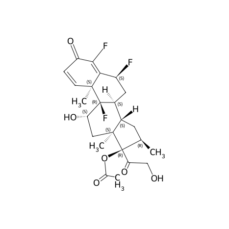 CC(=O)O[C@]1(C(=O)CO)[C@H](C)C[C@H]2[C@@H]3C[C@H](F)C4=C(F)C(=O)C=C[C@]4(C)[C@@]3(F)[C@@H](O)C[C@@]21C